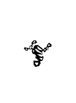 c1ccc(-c2cccc(-c3ccc(-c4nc(-c5ccccc5)nc(-c5ccccc5)n4)c4c3sc3c(-c5ccc6sc7ccccc7c6c5)cccc34)c2)cc1